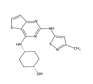 Cc1cc(Nc2nc(N[C@H]3CC[C@@H](O)CC3)c3sccc3n2)sn1